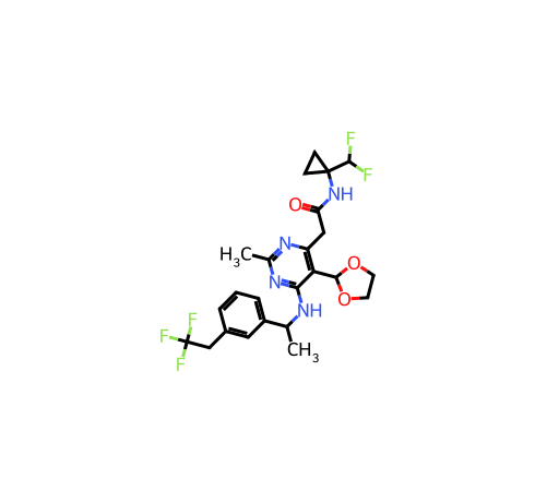 Cc1nc(CC(=O)NC2(C(F)F)CC2)c(C2OCCO2)c(NC(C)c2cccc(CC(F)(F)F)c2)n1